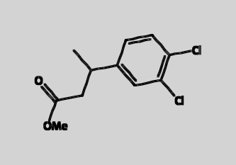 COC(=O)CC(C)c1ccc(Cl)c(Cl)c1